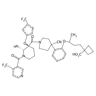 CCC[C@H]1N(C(=O)c2cnccc2C(F)(F)F)CCC[C@@]1(Oc1csc(C(F)(F)F)c1)C(=O)N1CCC(C#N)(c2ccccc2OC(C)CCC2(C(=O)O)CCC2)CC1